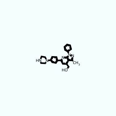 Cc1nn(-c2ccccc2)c2nc(-c3ccc(N4CCNCC4)cc3)cc(CO)c12